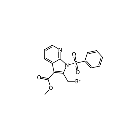 COC(=O)c1c(CBr)n(S(=O)(=O)c2ccccc2)c2ncccc12